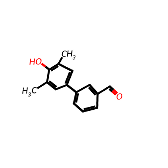 Cc1cc(-c2cccc(C=O)c2)cc(C)c1O